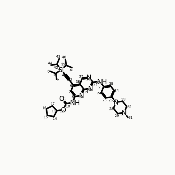 CC(C)[Si](C#Cc1cc(NC(=O)OC2CCCC2)nc2nc(Nc3ccc(N4CCN(C)CC4)cc3)ncc12)(C(C)C)C(C)C